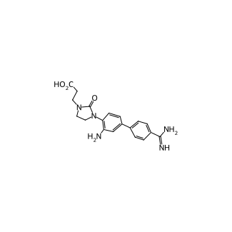 N=C(N)c1ccc(-c2ccc(N3CCN(CCC(=O)O)C3=O)c(N)c2)cc1